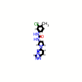 Cc1ccc(NC(=O)NC2CCN(c3ccc4nncn4n3)C2)cc1Cl